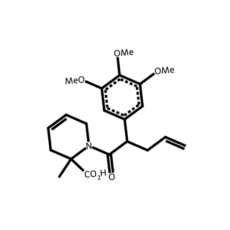 C=CCC(C(=O)N1CC=CCC1(C)C(=O)O)c1cc(OC)c(OC)c(OC)c1